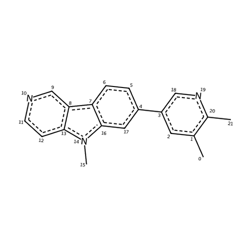 Cc1cc(-c2ccc3c4cnccc4n(C)c3c2)cnc1C